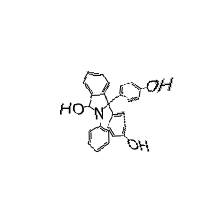 Oc1ccc(C2(c3ccc(O)cc3)c3ccccc3C(O)N2c2ccccc2)cc1